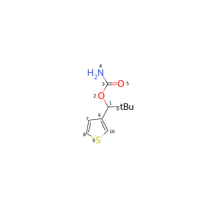 CC(C)(C)C(OC(N)=O)c1ccsc1